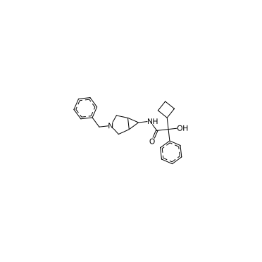 O=C(NC1C2CN(Cc3ccccc3)CC21)C(O)(c1ccccc1)C1CCC1